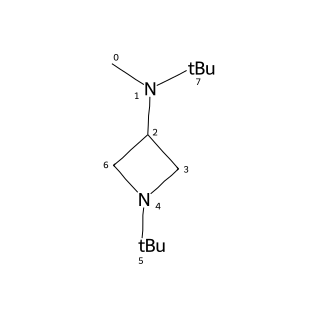 CN(C1CN(C(C)(C)C)C1)C(C)(C)C